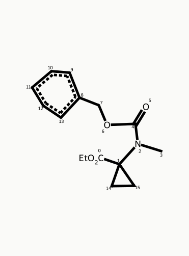 CCOC(=O)C1(N(C)C(=O)OCc2ccccc2)CC1